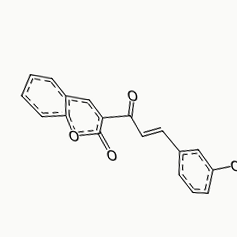 O=C(/C=C/c1cccc(Cl)c1)c1cc2ccccc2oc1=O